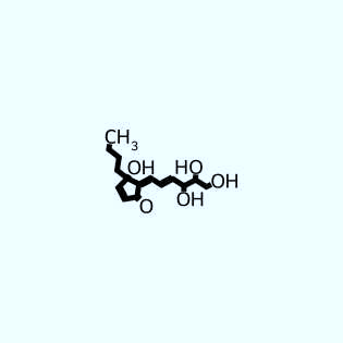 CCCCC1(O)C=CC(=O)/C1=C\C=C\C(O)C(O)CO